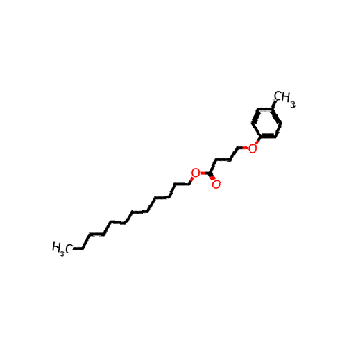 CCCCCCCCCCCCOC(=O)CCCOc1ccc(C)cc1